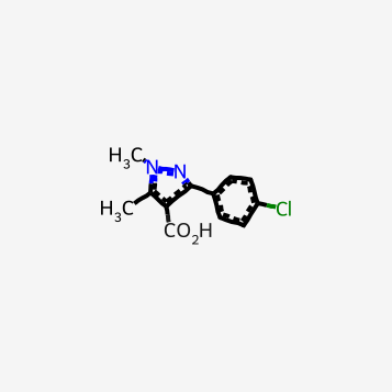 Cc1c(C(=O)O)c(-c2ccc(Cl)cc2)nn1C